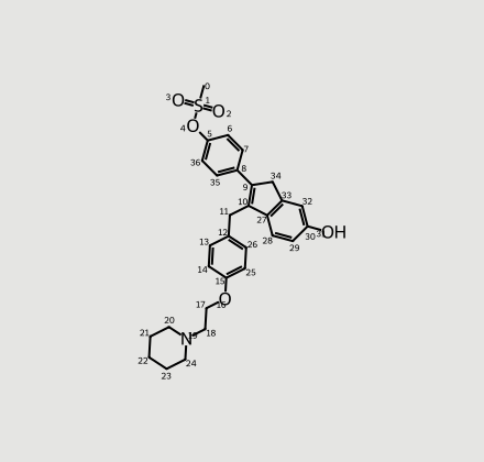 CS(=O)(=O)Oc1ccc(C2=C(Cc3ccc(OCCN4CCCCC4)cc3)c3ccc(O)cc3C2)cc1